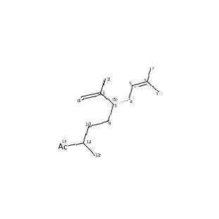 C=C(C)[C@H](CC=C(C)C)CCC(C)C(C)=O